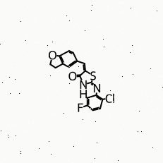 O=C1NC(=Nc2cc(F)ccc2Cl)SC1=Cc1ccc2c(c1)CCO2